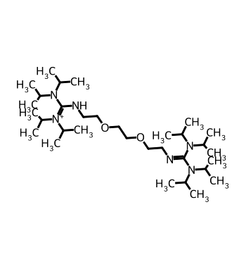 CC(C)N(C(=NCCOCCOCCNC(N(C(C)C)C(C)C)=[N+](C(C)C)C(C)C)N(C(C)C)C(C)C)C(C)C